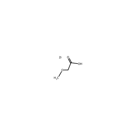 COCC(=O)O.[Zr]